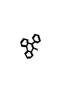 Ic1c(-c2ccccc2)c2ccccc2c2ccccc12